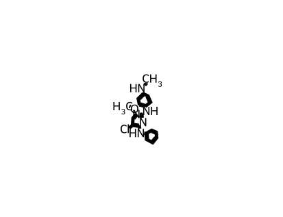 CCNc1ccc(Nc2ncc(Cl)c(Nc3ccccc3)n2)c(OC)c1